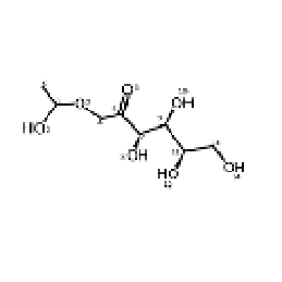 CC(O)OCC(=O)[C@H](O)[C@@H](O)[C@H](O)CO